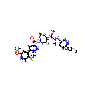 COc1cc(-c2cc(C(=O)N3CCC(C(=O)NCc4ccc(C)nc4)CC3)n[nH]2)c(Cl)cn1